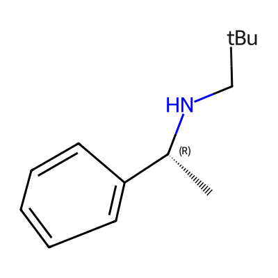 C[C@@H](NCC(C)(C)C)c1ccccc1